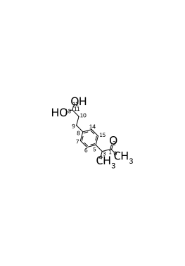 CC(=O)C(C)c1ccc(CCC(O)O)cc1